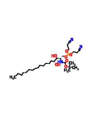 CCCCCCCCCCCCCC[C@@H](O)[C@@H](O)[C@H](COP(OCCC#N)OCCC#N)NC(=O)OC(C)(C)C